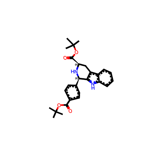 CC(C)(C)OC(=O)c1ccc([C@H]2N[C@@H](C(=O)OC(C)(C)C)Cc3c2[nH]c2ccccc32)cc1